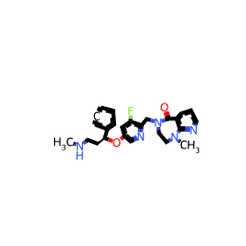 CNCC[C@H](Oc1cnc(CN2CCN(C)c3ncccc3C2=O)c(F)c1)c1ccccc1